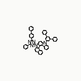 c1ccc(-c2ccc(-c3nc(-c4ccccc4)nc(-n4c5ccc6ccccc6c5c5c6c7ccccc7n(-c7cc(-c8ccccc8)cc(-c8ccccc8)c7)c6ccc54)n3)cc2)cc1